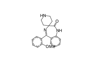 COc1ccccc1C1=NC2(CCNCC2)C(=O)Nc2ccccc21